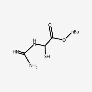 CCCCOC(=O)C(S)NC(=N)N